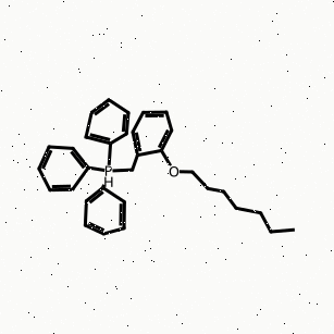 CCCCCCCOc1ccccc1C[PH](c1ccccc1)(c1ccccc1)c1ccccc1